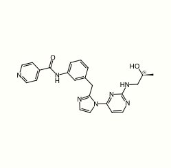 C[C@H](O)CNc1nccc(-n2ccnc2Cc2cccc(NC(=O)c3ccncc3)c2)n1